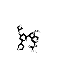 CC(=O)Nc1cc2c(-c3cc(OC4COC4)cc(C4CCOC4)n3)cn(C)c2cn1